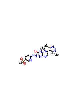 CC[C@H](C)n1c(=O)c(NCc2ccc(S(=O)(=O)CC)cn2)nc2ncc(-c3c(OC)ncnc3C3CC3)nc21